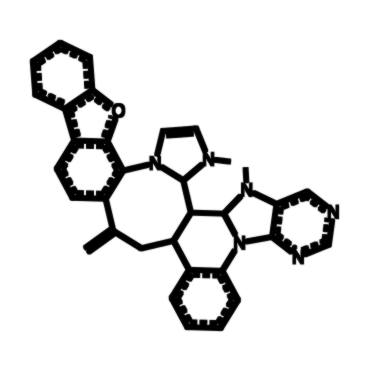 C=C1CC2c3ccccc3N3c4ncncc4N(C)C3C2C2N(C)C=CN2c2c1ccc1c2oc2ccccc21